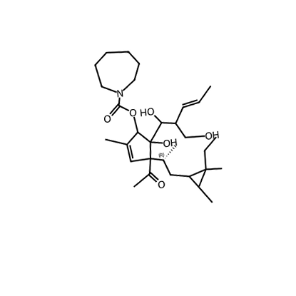 CC=CC(CO)C(O)C1(O)C(OC(=O)N2CCCCCC2)C(C)=CC1(C(C)=O)[C@H](C)CC1C(C)C1(C)CC